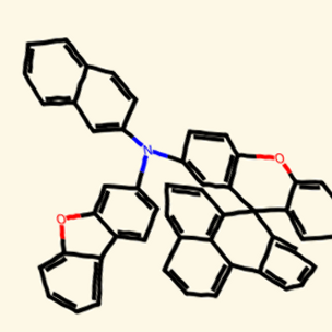 c1ccc2c(c1)Oc1ccc(N(c3ccc4ccccc4c3)c3ccc4c(c3)oc3ccccc34)cc1C21c2ccccc2-c2cccc3cccc1c23